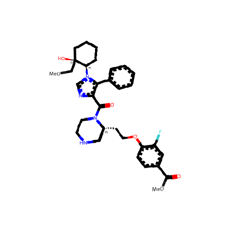 COC[C@]1(O)CCCC[C@H]1n1cnc(C(=O)N2CCNC[C@H]2CCOc2ccc(C(=O)OC)cc2F)c1-c1ccccc1